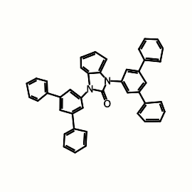 O=c1n(-c2cc(-c3ccccc3)cc(-c3ccccc3)c2)c2ccccc2n1-c1cc(-c2ccccc2)cc(-c2ccccc2)c1